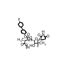 CC(C)OC(=O)[C@H](C)NP(=O)(OC[C@H]1O[C@@H](n2ccc(=O)[nH]c2=O)[C@](C)(F)C1O)Oc1ccc(-c2ccc(F)cc2)cc1